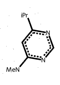 CNc1cc(C(C)C)ncn1